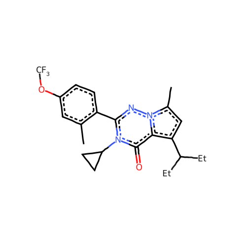 CCC(CC)c1cc(C)n2nc(-c3ccc(OC(F)(F)F)cc3C)n(C3CC3)c(=O)c12